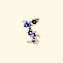 C[C@@H](NC(=O)OC(C)(C)C)C(=O)N1CCC[C@H](CCn2c(Sc3cc4c(cc3Br)OCO4)nc3c(N)ncnc32)C1